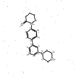 O=C1CCCCN1c1ccc(-c2cncc(N3CCOCC3)c2)cc1